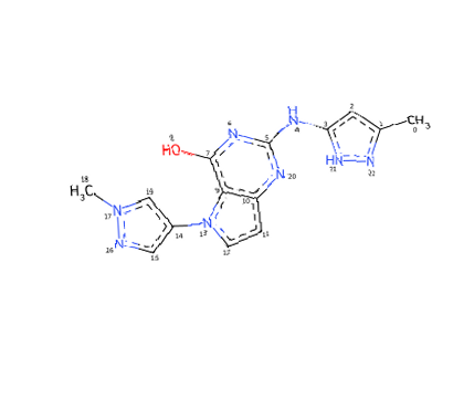 Cc1cc(Nc2nc(O)c3c(ccn3-c3cnn(C)c3)n2)[nH]n1